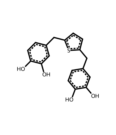 Oc1ccc(Cc2ccc(Cc3ccc(O)c(O)c3)s2)cc1O